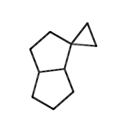 C1CC2CCC3(CC3)C2C1